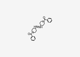 O=C(c1ccccc1)N1CCC(NNC2CCN(C(=O)c3ccccc3)CC2)CC1